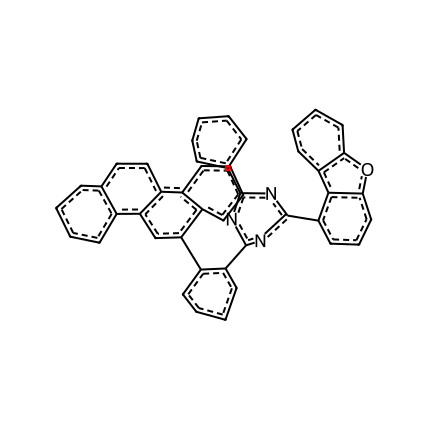 c1ccc(-c2nc(-c3ccccc3-c3cc4c5ccccc5ccc4c4ccccc34)nc(-c3cccc4oc5ccccc5c34)n2)cc1